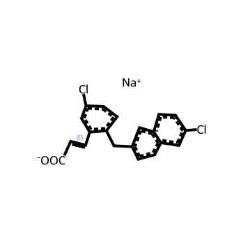 O=C([O-])/C=C/c1cc(Cl)ccc1Cc1ccc2cc(Cl)ccc2c1.[Na+]